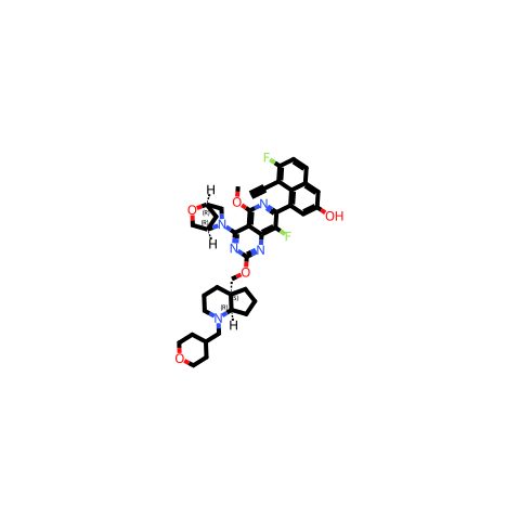 C#Cc1c(F)ccc2cc(O)cc(-c3nc(OC)c4c(N5C[C@H]6C[C@@H]5CO6)nc(OC[C@]56CCC[C@H]5N(CC5CCOCC5)CCC6)nc4c3F)c12